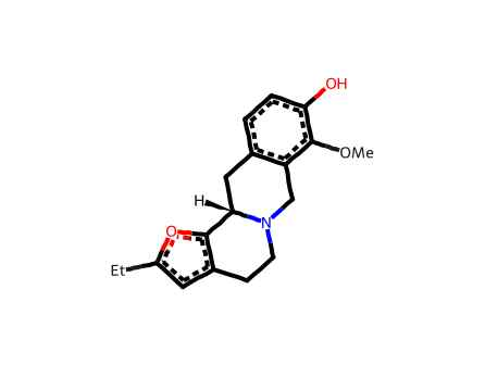 CCc1cc2c(o1)[C@@H]1Cc3ccc(O)c(OC)c3CN1CC2